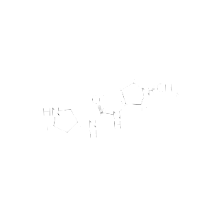 CN1CCC(NC(=O)N[C@@H]2CCNC2)C1